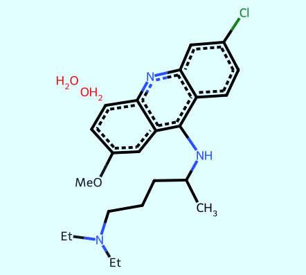 CCN(CC)CCCC(C)Nc1c2ccc(Cl)cc2nc2ccc(OC)cc12.O.O